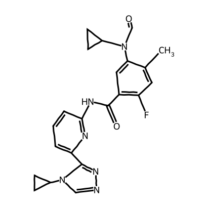 Cc1cc(F)c(C(=O)Nc2cccc(-c3nncn3C3CC3)n2)cc1N(C=O)C1CC1